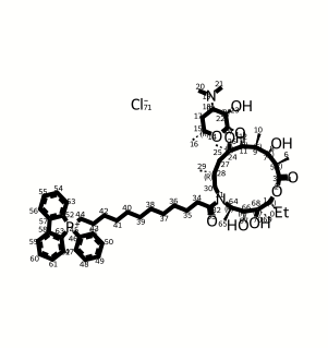 CC[C@H]1OC(=O)[C@H](C)[C@@H](O)[C@H](C)[C@@H](O[C@@H]2O[C@H](C)C[C@H](N(C)C)[C@H]2O)[C@](C)(O)C[C@@H](C)CN(C(=O)CCCCCCCCCCC[P+]2(c3ccccc3)c3ccccc3-c3ccccc32)[C@H](C)[C@@H](O)[C@]1(C)O.[Cl-]